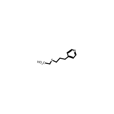 O=C(O)CSCCCc1ccncc1